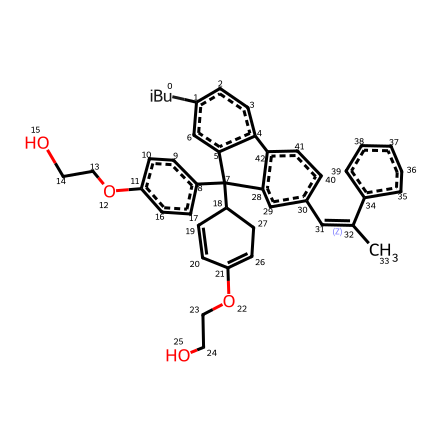 CCC(C)c1ccc2c(c1)C(c1ccc(OCCO)cc1)(C1C=CC(OCCO)=CC1)c1cc(/C=C(/C)c3ccccc3)ccc1-2